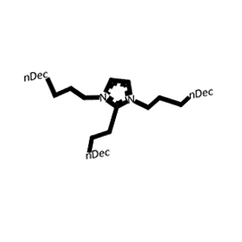 CCCCCCCCCCCCCn1cc[n+](CCCCCCCCCCCCC)c1CCCCCCCCCCCC